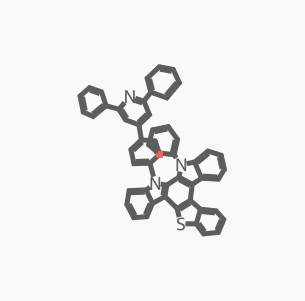 c1ccc(-c2cc(-c3ccc(-n4c5ccccc5c5c6sc7ccccc7c6c6c7ccccc7n(-c7ccccc7)c6c54)cc3)cc(-c3ccccc3)n2)cc1